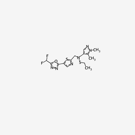 CCSN(Cc1ncc(-c2nnc(C(F)F)o2)s1)c1cnn(C)c1C